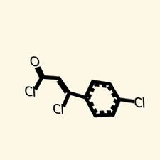 O=C(Cl)C=C(Cl)c1ccc(Cl)cc1